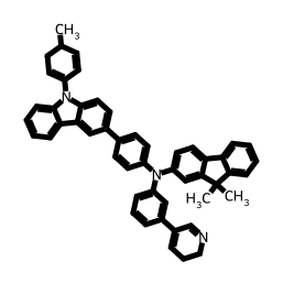 CC1C=CC(n2c3ccccc3c3cc(-c4ccc(N(c5cccc(C6=CCCN=C6)c5)c5ccc6c(c5)C(C)(C)c5ccccc5-6)cc4)ccc32)=CC1